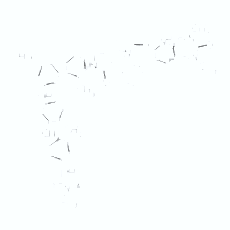 CC(=O)N(C)C.CN(C)C(=O)N(C)C.Cc1cccc(O)c1.Cc1ccccc1.Cc1ccccc1C.O=C1CCCN1.O=C1CCCN1C1CCCCC1.Oc1ccccc1.c1ccncc1